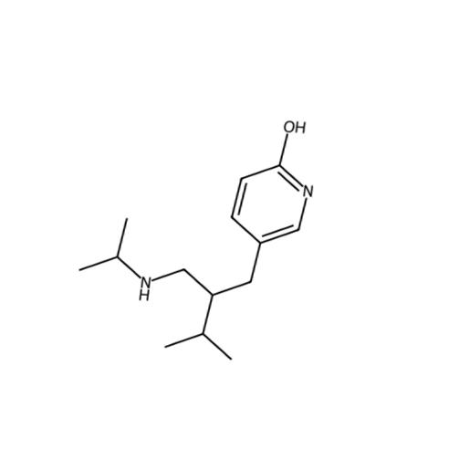 CC(C)NCC(Cc1ccc(O)nc1)C(C)C